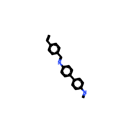 C=Cc1ccc(C=Nc2ccc(-c3ccc(N=C)cc3)cc2)cc1